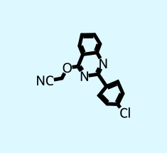 N#CCOc1nc(-c2ccc(Cl)cc2)nc2ccccc12